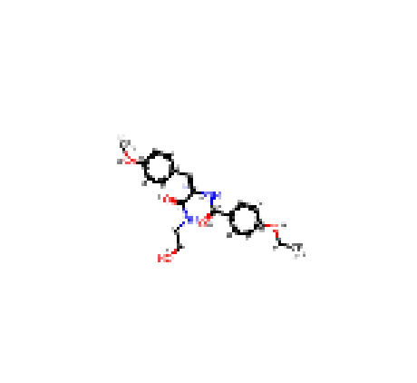 O=C(NCCO)/C(=C\c1ccc(OC(F)(F)F)cc1)NC(=O)c1ccc(OCC(F)(F)F)cc1